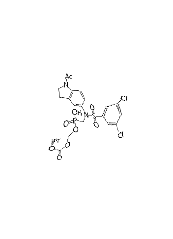 CC(=O)N1CCc2cc(N(CP(=O)(O)OCOC(=O)OC(C)C)S(=O)(=O)c3cc(Cl)cc(Cl)c3)ccc21